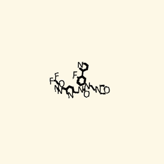 O=c1n(CCN2CCOCC2)c2cc(-c3cccnc3)c(F)cc2n1Cc1ccc(-c2nnc(C(F)F)o2)cn1